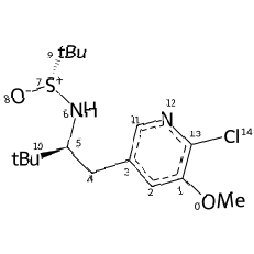 COc1cc(C[C@H](N[S@+]([O-])C(C)(C)C)C(C)(C)C)cnc1Cl